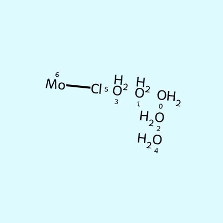 O.O.O.O.O.[Cl][Mo]